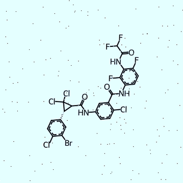 O=C(Nc1ccc(F)c(NC(=O)C(F)F)c1F)c1cc(NC(=O)C2[C@H](c3ccc(Cl)c(Br)c3)C2(Cl)Cl)ccc1Cl